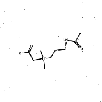 CC(=O)NCCC[N+](C)(C)CC(=O)[O-]